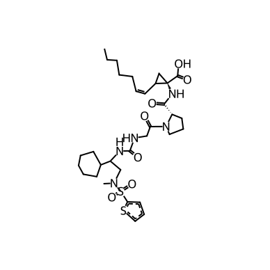 CCCCC/C=C\C1C[C@]1(NC(=O)[C@@H]1CCCN1C(=O)CNC(=O)NC(CN(C)S(=O)(=O)c1cccs1)C1CCCCC1)C(=O)O